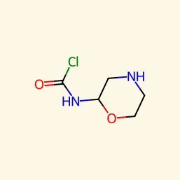 O=C(Cl)NC1CNCCO1